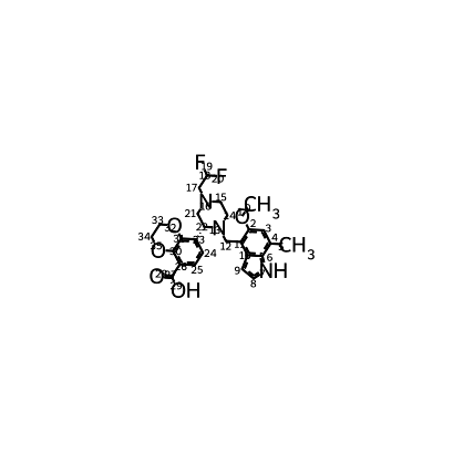 COc1cc(C)c2[nH]ccc2c1CN1CCN(CC(F)F)C[C@H]1c1ccc(C(=O)O)c2c1OCCO2